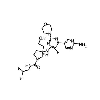 Nc1ncc(-c2nc(N3CCOCC3)nc(N[C@@]3(CCO)CCN(C(=O)NCC(F)F)C3)c2F)cn1